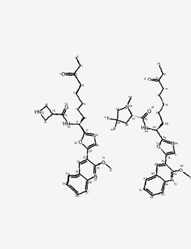 CCC(=O)CCCCC[C@H](NC(=O)C1CNC1)c1ncc(-c2cc3ccccc3nc2OC)o1.CCC(=O)CCCCC[C@H](NC(=O)[C@@H]1CC(F)(F)CN1C)c1ncc(-c2cc3ccccc3nc2OC)o1